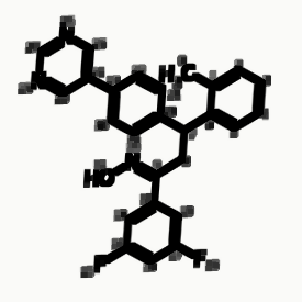 Cc1ccccc1C(CC(=NO)c1cc(F)cc(F)c1)c1ccc(-c2cncnc2)cc1